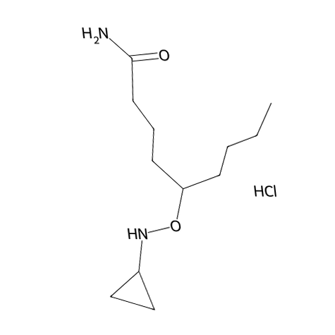 CCCCC(CCCC(N)=O)ONC1CC1.Cl